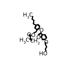 C=C(C)C(=O)OCCc1cc(CCCCC)ccc1Oc1coc2cc(OCCCCO)ccc12